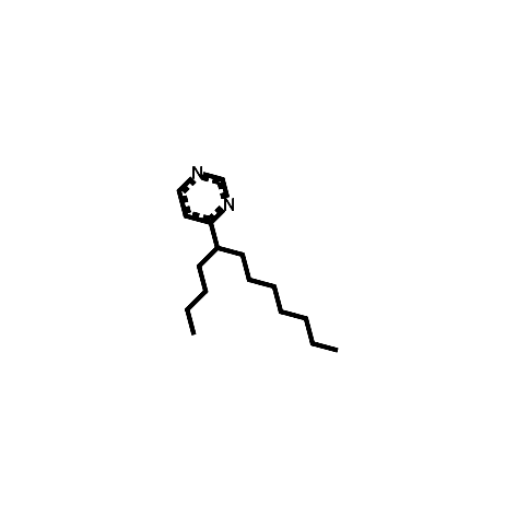 CCCCCCCC(CCCC)c1ccncn1